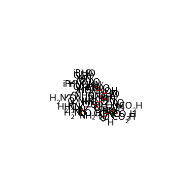 CC(C)C[C@H](NC(=O)[C@@H](NC(=O)[C@H](CCCCN)NC(=O)[C@H](CC(N)=O)NC(=O)[C@@H](N)CC(=O)O)C(C)C)C(=O)N[C@H](C(=O)N[C@@H](CO)C(=O)N[C@@H](CO)C(=O)N[C@@H](C)C(=O)N[C@@H](CO)C(=O)N[C@@H](CC(N)=O)C(=O)N[C@@H](CCCNC(=N)N)C(=O)NCC(=O)N[C@@H](CCCCN)C(=O)N[C@@H](CO)C(=O)N[C@@H](CC(=O)O)C(=O)N[C@@H](CC(=O)O)C(=O)N[C@@H](Cc1ccccc1)C(=O)N1CCC[C@H]1C(=O)N[C@@H](CO)C(=O)O)C(C)C